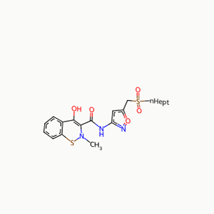 CCCCCCCS(=O)(=O)Cc1cc(NC(=O)C2=C(O)c3ccccc3SN2C)no1